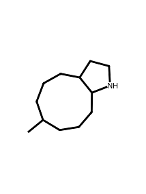 CC1CCCC2CCNC2CCC1